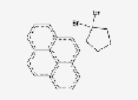 BrC1(Br)CCCC1.c1cc2ccc3cccc4ccc(c1)c2c34